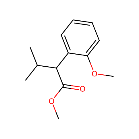 COC(=O)C(c1ccccc1OC)C(C)C